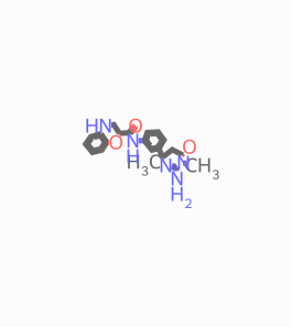 CN1C(=O)CC(C)(c2cccc(NC(=O)C3CNc4ccccc4O3)c2)N=C1N